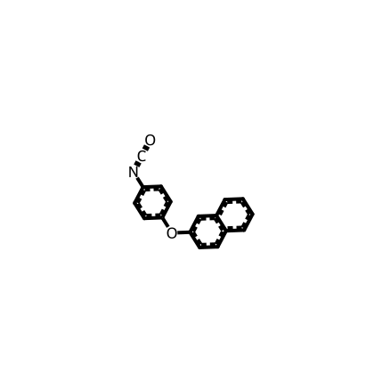 O=C=Nc1ccc(Oc2ccc3ccccc3c2)cc1